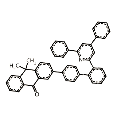 CC1(C)c2ccccc2C(=O)c2cc(-c3ccc(-c4ccccc4-c4cc(-c5ccccc5)cc(-c5ccccc5)n4)cc3)ccc21